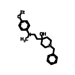 CCOc1ccc(N(C)CCC2(O)CCN(Cc3ccccc3)CC2)cc1